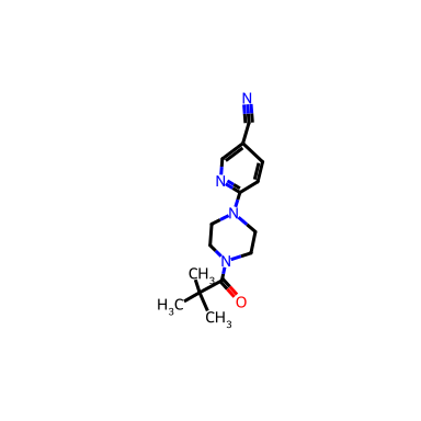 CC(C)(C)C(=O)N1CCN(c2ccc(C#N)cn2)CC1